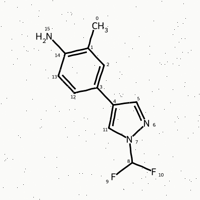 Cc1cc(-c2cnn(C(F)F)c2)ccc1N